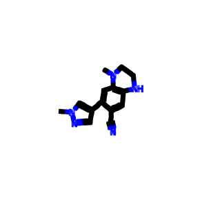 CN1CCNc2cc(C#N)c(-c3cnn(C)c3)cc21